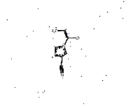 C/C=C(/Cl)n1cnc(C#N)c1